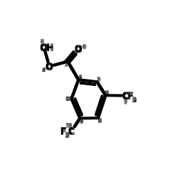 O=C(OO)c1cc(C(F)(F)F)cc(C(F)(F)F)c1